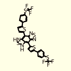 FC(F)(F)Sc1ccc(-c2ccc(-c3c4c(c(-c5ccc(-c6ccc(SC(F)(F)F)cc6)s5)c5nsnc35)NSN4)s2)cc1